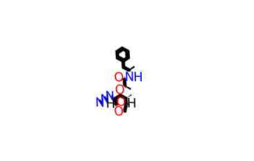 C[C@H]1[C@H](O[C@H](C)C(=O)N[C@H](C)Cc2ccccc2)[C@@H](N=[N+]=[N-])[C@@H]2OC[C@H]1O2